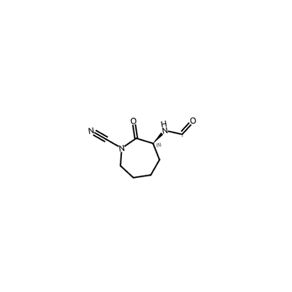 N#CN1CCCC[C@H](N[C]=O)C1=O